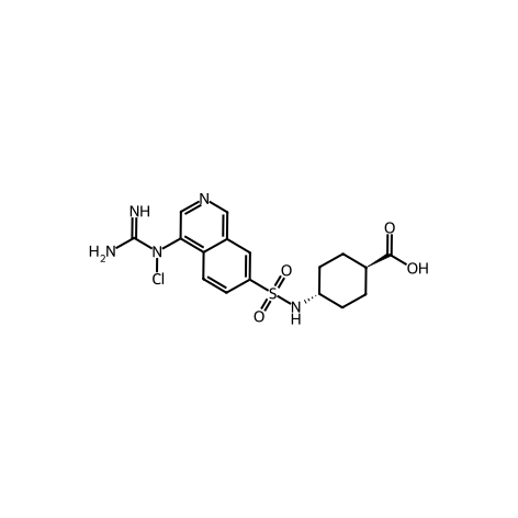 N=C(N)N(Cl)c1cncc2cc(S(=O)(=O)N[C@H]3CC[C@H](C(=O)O)CC3)ccc12